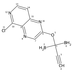 BC(B)(C#C)Oc1cnc2c(Cl)nccc2n1